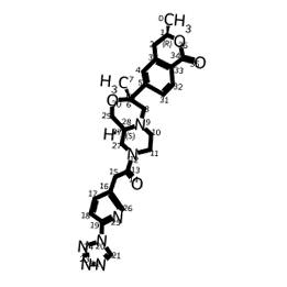 C[C@@H]1Cc2cc([C@]3(C)CN4CCN(C(=O)Cc5ccc(-n6cnnn6)nc5)C[C@H]4CO3)ccc2C(=O)O1